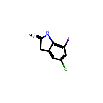 C=C1Cc2cc(Cl)cc(I)c2N1